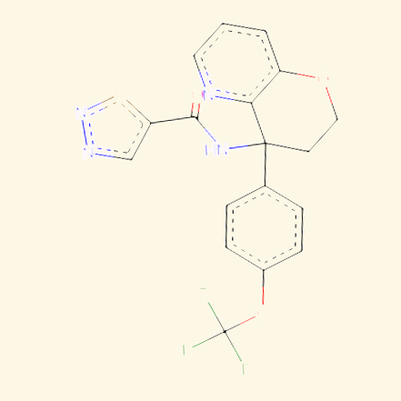 O=C(NC1(c2ccc(OC(F)(F)F)cc2)CCOc2cccnc21)c1cnns1